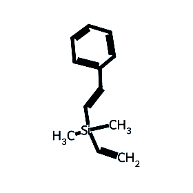 C=C[Si](C)(C)/C=C/c1ccccc1